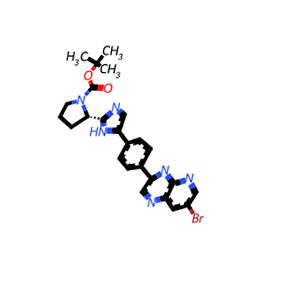 CC(C)(C)OC(=O)N1CCC[C@H]1c1ncc(-c2ccc(-c3cnc4cc(Br)cnc4n3)cc2)[nH]1